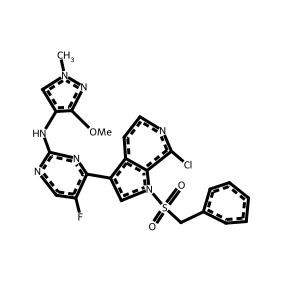 COc1nn(C)cc1Nc1ncc(F)c(-c2cn(S(=O)(=O)Cc3ccccc3)c3c(Cl)nccc23)n1